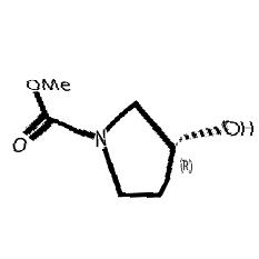 COC(=O)N1CC[C@@H](O)C1